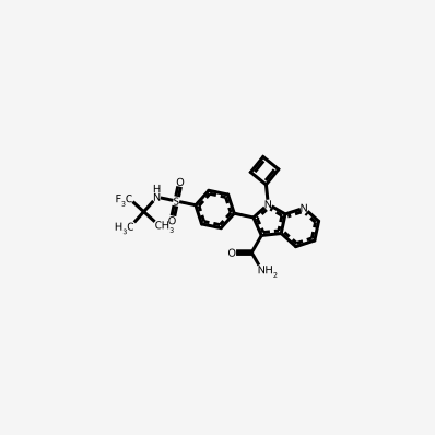 CC(C)(NS(=O)(=O)c1ccc(-c2c(C(N)=O)c3cccnc3n2C2=CC=C2)cc1)C(F)(F)F